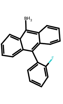 Bc1c2ccccc2c(-c2ccccc2F)c2ccccc12